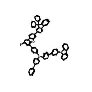 Fc1cc(-c2ccc(N(c3ccc(-c4ccccc4)cc3)c3ccc(-c4ccc(-n5c6ccccc6c6ccccc65)cc4)cc3)cc2)c2oc3cc(-c4ccc5c(c4)C(c4ccccc4)(c4ccccc4)c4ccccc4-5)ccc3c2c1